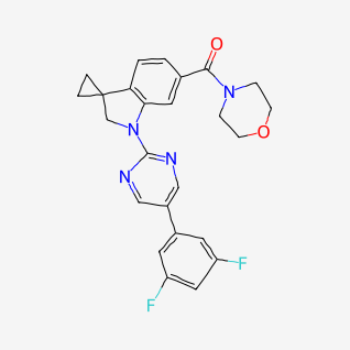 O=C(c1ccc2c(c1)N(c1ncc(-c3cc(F)cc(F)c3)cn1)CC21CC1)N1CCOCC1